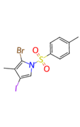 Cc1ccc(S(=O)(=O)n2cc(I)c(C)c2Br)cc1